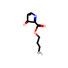 CCCCOC(=O)C1=NC=CC1=O